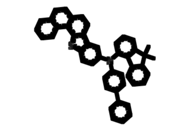 CC1(C)c2ccccc2-c2c(N(c3ccc(-c4ccccc4)cc3)c3ccc4sc5c(ccc6ccc7ccccc7c65)c4c3)cccc21